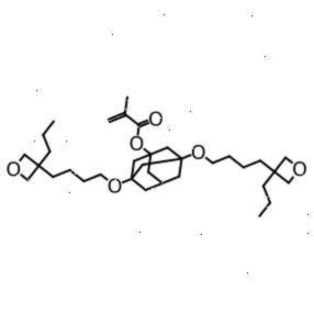 C=C(C)C(=O)OC12CC3CC(OCCCCC4(CCC)COC4)(CC(OCCCCC4(CCC)COC4)(C3)C1)C2